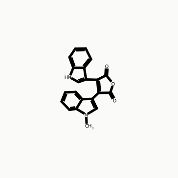 Cn1cc(C2=C(c3c[nH]c4ccccc34)C(=O)OC2=O)c2ccccc21